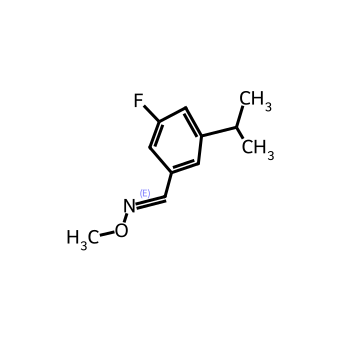 CO/N=C/c1cc(F)cc(C(C)C)c1